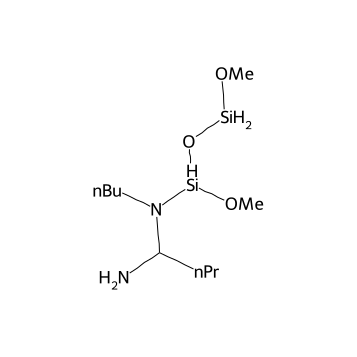 CCCCN(C(N)CCC)[SiH](OC)O[SiH2]OC